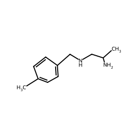 Cc1ccc(CNCC(C)N)cc1